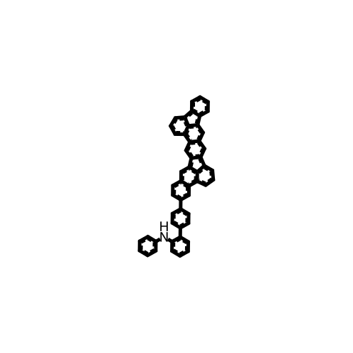 c1ccc(Nc2ccccc2-c2ccc(-c3ccc4cc5c6cc7c(cc6c6cccc(c4c3)c65)cc3c4ccccc4c4cccc7c43)cc2)cc1